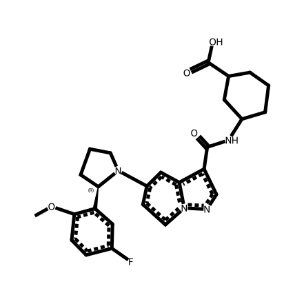 COc1ccc(F)cc1[C@H]1CCCN1c1ccn2ncc(C(=O)NC3CCCC(C(=O)O)C3)c2c1